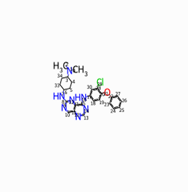 CN(C)C1CCC(Nc2ncc3ncnc(Nc4ccc(Oc5ccccc5)c(Cl)c4)c3n2)CC1